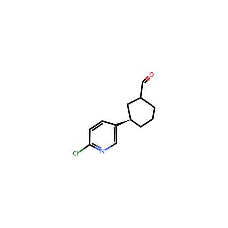 O=CC1CCC[C@@H](c2ccc(Cl)nc2)C1